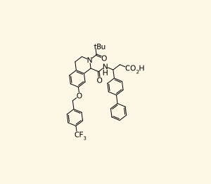 CC(C)(C)C(=O)N1CCc2ccc(OCc3ccc(C(F)(F)F)cc3)cc2C1C(=O)NC(CC(=O)O)c1ccc(-c2ccccc2)cc1